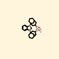 CC1C=C2CCCC(N3CN(C45CCCC(CC(C)C4)C5)c4ccccc43)(C2)C1